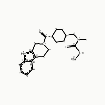 CN(C[C@H]1CC[C@H](C(=O)N2CCc3c([nH]c4ccccc34)C2)CC1)C(=O)OC(C)(C)C